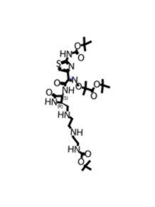 CC(C)(C)OC(=O)NCCNCCNC[C@H]1NC(=O)[C@H]1NC(=O)/C(=N\OC(C)(C)C(=O)OC(C)(C)C)c1csc(NC(=O)OC(C)(C)C)n1